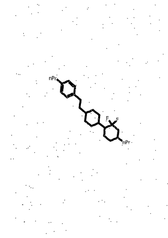 CCCc1ccc(CCC2CCC(C3CCC(CCC)CC3(F)F)CC2)cc1